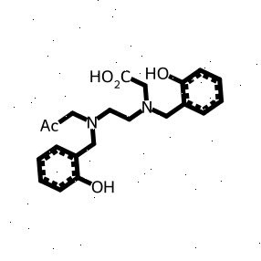 CC(=O)CN(CCN(CC(=O)O)Cc1ccccc1O)Cc1ccccc1O